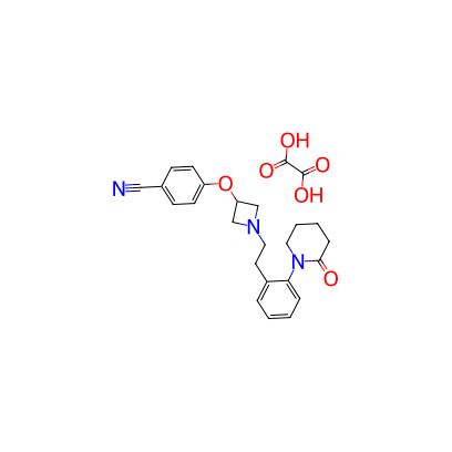 N#Cc1ccc(OC2CN(CCc3ccccc3N3CCCCC3=O)C2)cc1.O=C(O)C(=O)O